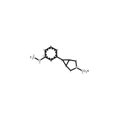 O=C(O)N1CC2C(C1)C2c1cccc(OC(F)(F)F)c1